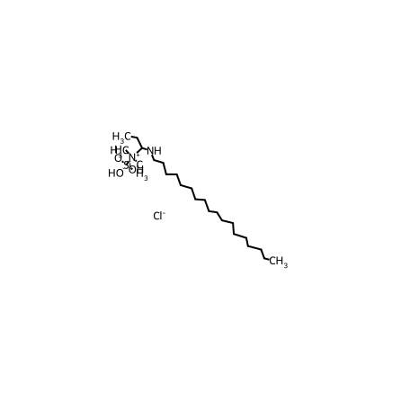 CCCCCCCCCCCCCCCCCCNC(CC)[N+](C)(C)[Si](O)(O)O.[Cl-]